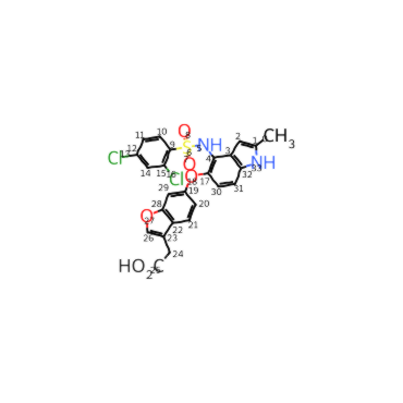 Cc1cc2c(NS(=O)(=O)c3ccc(Cl)cc3Cl)c(Oc3ccc4c(CC(=O)O)coc4c3)ccc2[nH]1